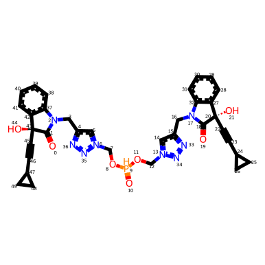 O=C1N(Cc2cn(CO[PH](=O)OCn3cc(CN4C(=O)[C@](O)(C#CC5CC5)c5ccccc54)nn3)nn2)c2ccccc2[C@@]1(O)C#CC1CC1